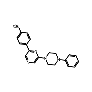 CC(C)(C)c1ccc(-c2cncc(N3CCN(c4ccccc4)CC3)n2)cc1